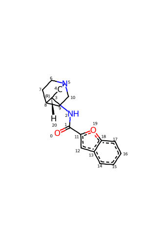 O=C(N[C@H]1CN2CCC1CC2)c1cc2ccccc2o1